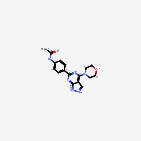 CNC(=O)Nc1ccc(-c2nc(N3CCOCC3)c3cn[nH]c3n2)cc1